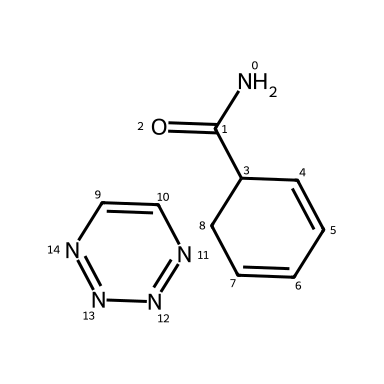 NC(=O)C1C=CC=CC1.c1cnnnn1